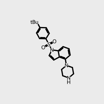 CC(C)(C)c1ccc(S(=O)(=O)n2ccc3c(N4CCNCC4)cccc32)cc1